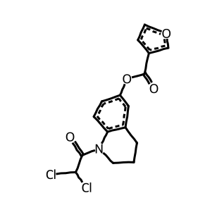 O=C(Oc1ccc2c(c1)CCCN2C(=O)C(Cl)Cl)c1ccoc1